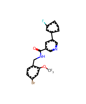 O=C(NCc1ccc(Br)cc1OC(F)(F)F)c1cncc(-c2cccc(F)c2)c1